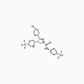 O=C(Nc1ccc(C(F)(F)F)cc1)N1CC(c2ccc(C(F)(F)F)cn2)C(c2ccc(Cl)cc2)=N1